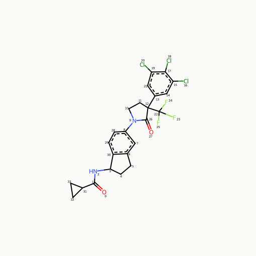 O=C(NC1CCc2cc(N3CCC(c4cc(Cl)c(Cl)c(Cl)c4)(C(F)(F)F)C3=O)ccc21)C1CC1